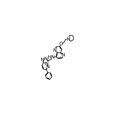 c1ccc(-c2ccc3nnc(CNc4ccnc5cc(OCCN6CCCC6)cnc45)n3n2)cc1